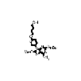 CCCCOc1nc(N)c2nc(OC)n(-c3ccc(OCCCCO)nc3)c2n1